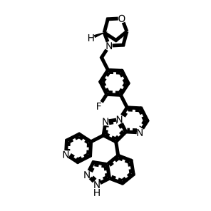 Fc1cc(CN2CC3C[C@H]2CO3)ccc1-c1ccnc2c(-c3cccc4[nH]ncc34)c(-c3ccncc3)nn12